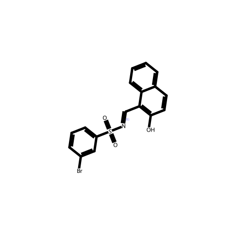 O=S(=O)(/N=C/c1c(O)ccc2ccccc12)c1cccc(Br)c1